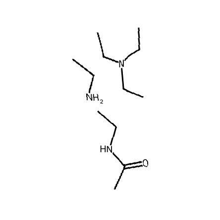 CCN.CCN(CC)CC.CCNC(C)=O